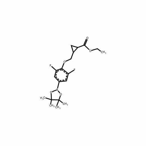 CCOC(=O)C1CC1COc1c(F)cc(B2OC(C)(C)C(C)(C)O2)cc1F